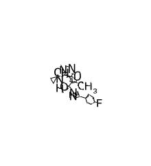 Cc1oc2ncnc(NC3(C)CC3)c2c1C(=O)n1cc(-c2ccc(F)cc2)cn1